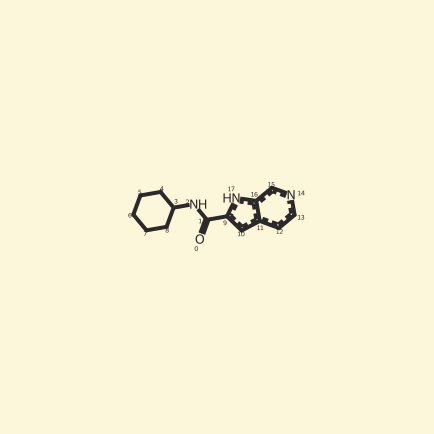 O=C(NC1CCCCC1)c1cc2ccncc2[nH]1